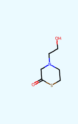 O=C1CN(CCO)CCS1